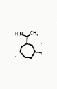 CC(N)C1CCCCC(I)C1